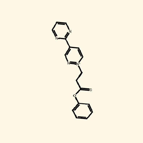 O=C(CC[n+]1ccc(-c2ncccn2)cn1)Oc1ccccc1